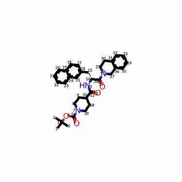 CC(C)(C)OC(=O)N1CCC(C(=O)N[C@H](Cc2ccc3ccccc3c2)C(=O)N2CCc3ccccc3C2)CC1